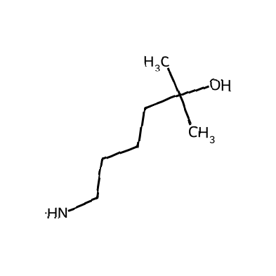 CC(C)(O)CCCC[NH]